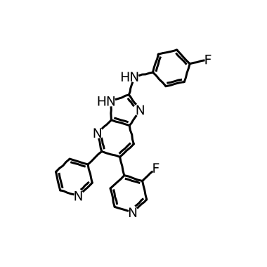 Fc1ccc(Nc2nc3cc(-c4ccncc4F)c(-c4cccnc4)nc3[nH]2)cc1